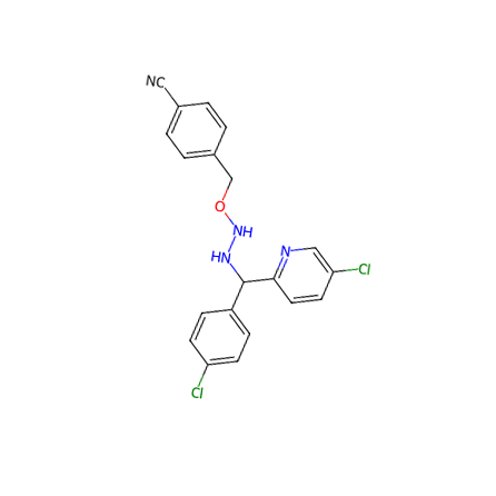 N#Cc1ccc(CONNC(c2ccc(Cl)cc2)c2ccc(Cl)cn2)cc1